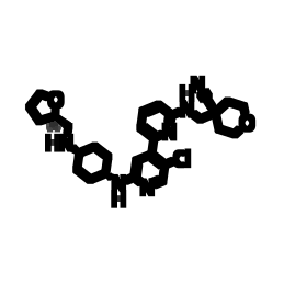 N#CC1(CNc2cccc(-c3cc(N[C@H]4CC[C@H](NC[C@H]5CCCO5)CC4)ncc3Cl)n2)CCOCC1